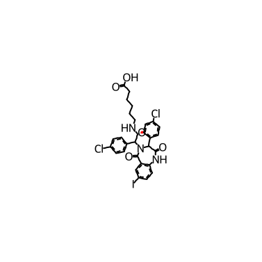 O=C(O)CCCCCNC(=O)C(c1ccc(Cl)cc1)N1C(=O)c2cc(I)ccc2NC(=O)C1c1ccc(Cl)cc1